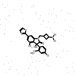 CCN(CC)C1CC(CN2C(=O)C(O)(c3ccc(Cl)cc3Cl)c3c2cc(-c2ncco2)cc3C(F)(F)F)C1.Cl